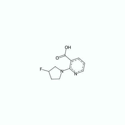 O=C(O)c1cccnc1N1CCC(F)C1